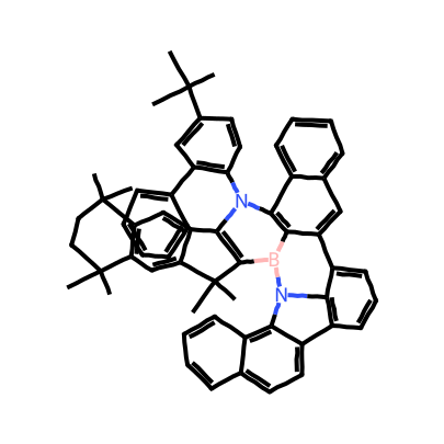 CC(C)(C)c1ccc(N2C3=C(B4c5c(cc6ccccc6c52)-c2cccc5c6ccc7ccccc7c6n4c25)C(C)(C)c2cc4c(cc23)C(C)(C)CCC4(C)C)c(-c2ccccc2)c1